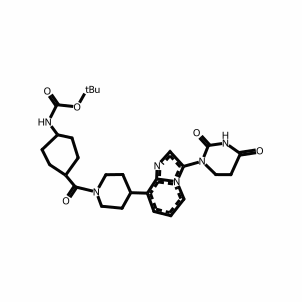 CC(C)(C)OC(=O)NC1CCC(C(=O)N2CCC(c3cccn4c(N5CCC(=O)NC5=O)cnc34)CC2)CC1